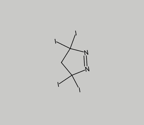 IC1(I)CC(I)(I)N=N1